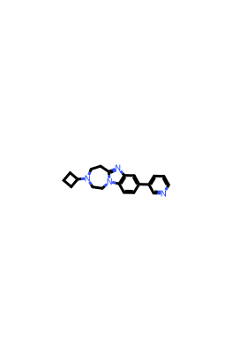 c1cncc(-c2ccc3c(c2)nc2n3CCN(C3CCC3)CC2)c1